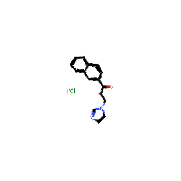 Cl.O=C(CCn1ccnc1)c1ccc2ccccc2c1